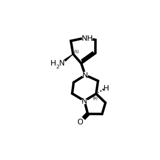 N[C@H]1CNCC=C1N1CCN2C(=O)CC[C@@H]2C1